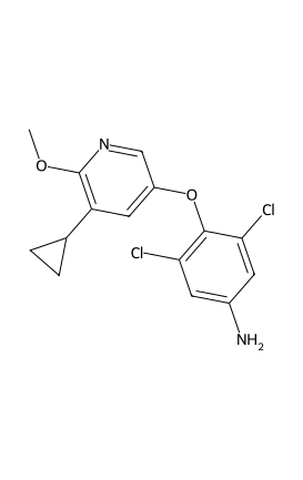 COc1ncc(Oc2c(Cl)cc(N)cc2Cl)cc1C1CC1